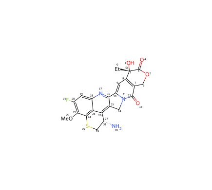 CC[C@@]1(O)C(=O)OCc2c1cc1n(c2=O)Cc2c-1nc1cc(F)c(OC)c3c1c2[C@H](N)CS3